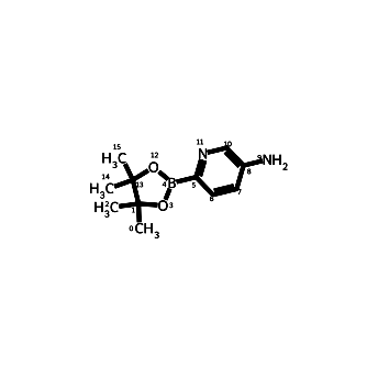 CC1(C)OB(c2ccc(N)cn2)OC1(C)C